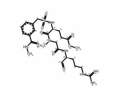 CNC(=N)c1cccc(CS(=O)(=O)N[C@@H](CCC(=O)OC)C(=O)N(C)CC(=O)N[C@H](C=O)CCCNC(=N)N)c1